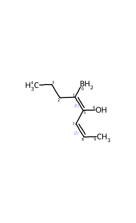 B/C(CCC)=C(O)/C=C\C